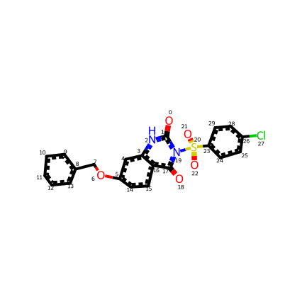 O=c1[nH]c2cc(OCc3ccccc3)ccc2c(=O)n1S(=O)(=O)c1ccc(Cl)cc1